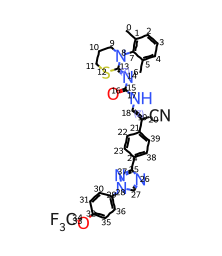 Cc1cccc(C)c1N1CCCS/C1=N\C(=O)N/C=C(\C#N)c1ccc(-c2ncn(-c3ccc(OC(F)(F)F)cc3)n2)cc1